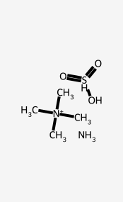 C[N+](C)(C)C.N.O=[SH](=O)O